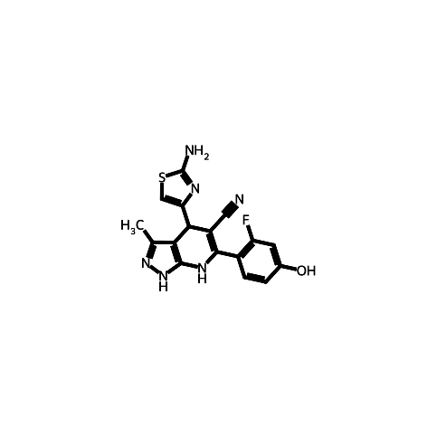 Cc1n[nH]c2c1C(c1csc(N)n1)C(C#N)=C(c1ccc(O)cc1F)N2